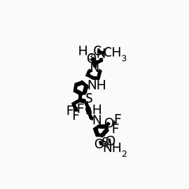 CN(C)CC(=O)N1CCC(Nc2cccc3c(CC(F)(F)F)c(C#CCNc4ccc(S(N)(=O)=O)cc4OC(F)F)sc23)CC1